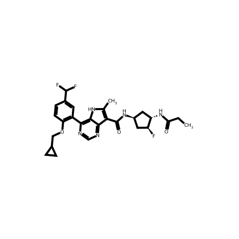 CCC(=O)N[C@H]1C[C@H](NC(=O)c2c(C)[nH]c3c(-c4cc(C(F)F)ccc4OCC4CC4)ncnc23)C[C@@H]1F